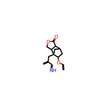 C=COC1CC2CC1(CC(=C)C=N)C1COC(=O)C21